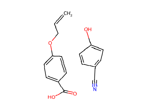 C=CCOc1ccc(C(=O)O)cc1.N#Cc1ccc(O)cc1